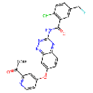 CNC(=O)c1cc(Oc2ccc3nc(NC(=O)c4cc(CF)ccc4Cl)nnc3c2)ccn1